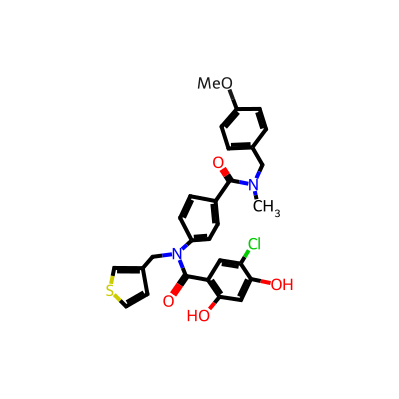 COc1ccc(CN(C)C(=O)c2ccc(N(Cc3ccsc3)C(=O)c3cc(Cl)c(O)cc3O)cc2)cc1